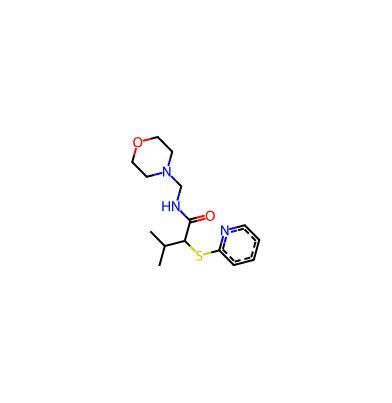 CC(C)C(Sc1ccccn1)C(=O)NCN1CCOCC1